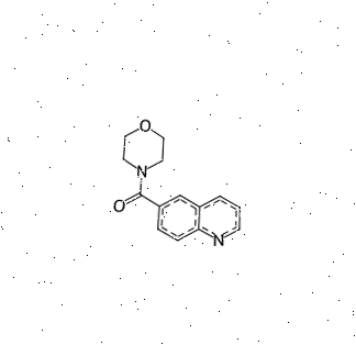 O=C(c1ccc2ncccc2c1)N1CCOCC1